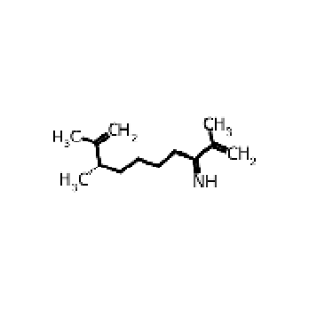 C=C(C)C(=N)CCCC[C@H](C)C(=C)C